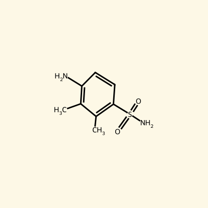 Cc1c(N)ccc(S(N)(=O)=O)c1C